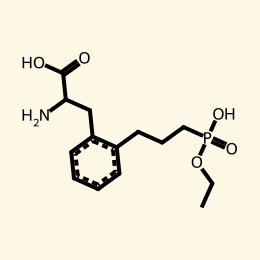 CCOP(=O)(O)CCCc1ccccc1CC(N)C(=O)O